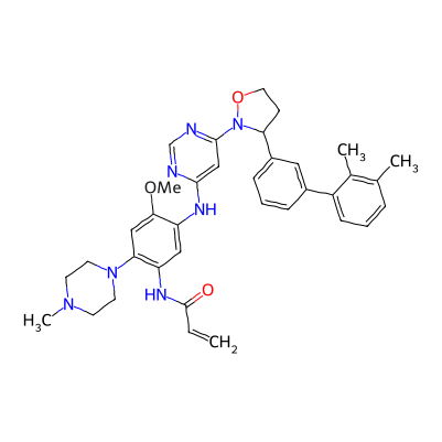 C=CC(=O)Nc1cc(Nc2cc(N3OCCC3c3cccc(-c4cccc(C)c4C)c3)ncn2)c(OC)cc1N1CCN(C)CC1